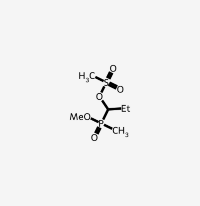 CCC(OS(C)(=O)=O)P(C)(=O)OC